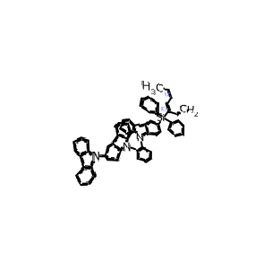 C=C/C(=C\C=C/C)[Si](c1ccccc1)(c1ccccc1)c1ccc2c(c1)c1ccccc1n2-c1ccccc1-n1c2ccccc2c2cc(-n3c4ccccc4c4ccccc43)ccc21